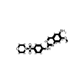 Bc1cc2cnc(Nc3ccc(S(=O)(=O)N4CCOCC4)cc3)nc2cc1OC